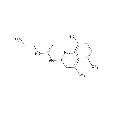 Cc1ccc(C)c2c(C)cc(NC(=S)NCCN)nc12